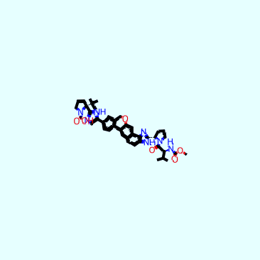 COC(=O)N[C@H](C(=O)N1CCC[C@H]1c1nc2c(ccc3cc4c(cc32)OCc2cc(-c3cnc([C@]5(C(C)(C)C)CCCN5C(=O)O)[nH]3)ccc2-4)[nH]1)C(C)C